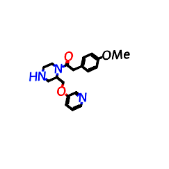 COc1ccc(CC(=O)N2CCNCC2COc2cccnc2)cc1